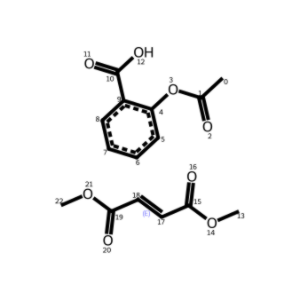 CC(=O)Oc1ccccc1C(=O)O.COC(=O)/C=C/C(=O)OC